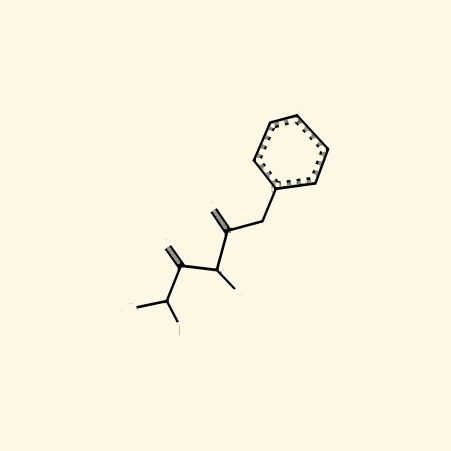 O=C(Cc1ccccc1)C(F)C(=O)C(F)F